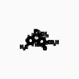 Cc1ccc2c(c1)-c1[nH]c(=O)c(C(=O)O)cc1[C@@](C)(C(C)C)C2